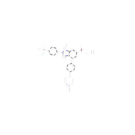 COC(=O)c1cc(-c2ccc(C3CCNCC3)cc2)c2nc(-c3ccc(C(F)(F)F)cc3)[nH]c2c1